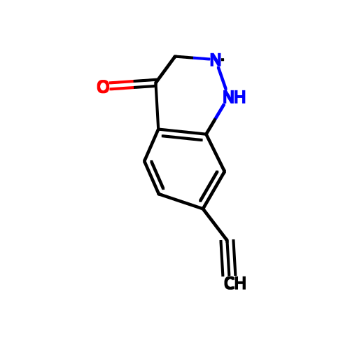 C#Cc1ccc2c(c1)N[N]CC2=O